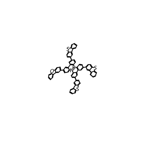 c1ccc2c(c1)oc1ccc(-c3ccc4c(c3)-c3cc(-c5ccc6sc7ccccc7c6c5)ccc3B3c5ccc(-c6ccc7sc8ccccc8c7c6)cc5-c5cc(-c6ccc7sc8ccccc8c7c6)ccc5N34)cc12